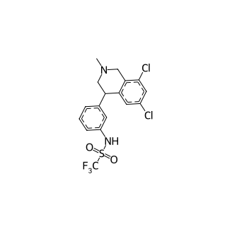 CN1Cc2c(Cl)cc(Cl)cc2C(c2cccc(NS(=O)(=O)C(F)(F)F)c2)C1